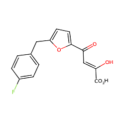 O=C(O)C(O)=CC(=O)c1ccc(Cc2ccc(F)cc2)o1